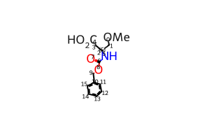 COC[C@H](CC(=O)O)NC(=O)OCc1ccccc1